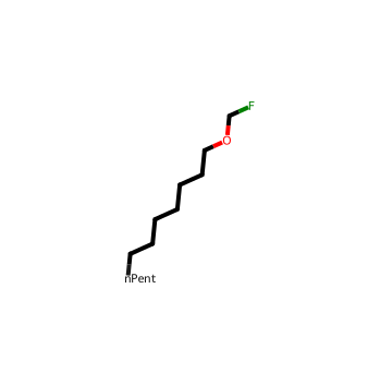 CCCCCCCCCCCCOCF